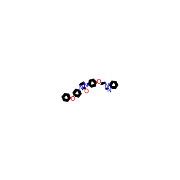 O=c1n(-c2ccc(OCCn3cnc4ccccc43)cc2)ccn1-c1ccc(Oc2ccccc2)cc1